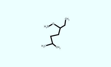 CCC(CCC(C)C)O[SiH3]